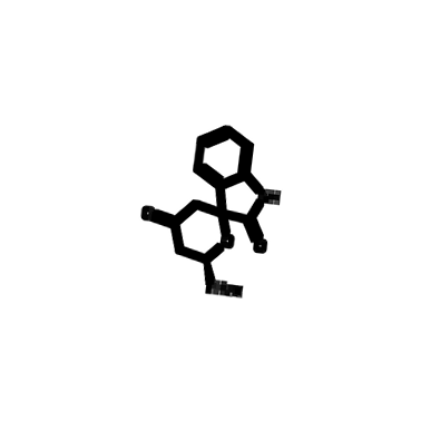 CCCCCC[C@H]1CC(=O)CC2(O1)C(=O)Nc1ccccc12